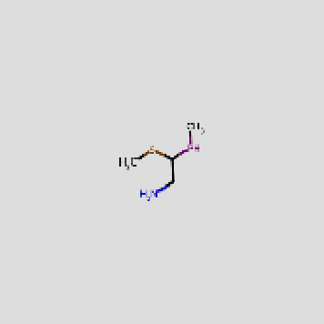 CPC(CN)SC